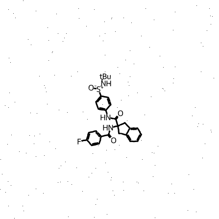 CC(C)(C)N[S+]([O-])c1ccc(NC(=O)C2(NC(=O)c3ccc(F)cc3)Cc3ccccc3C2)cc1